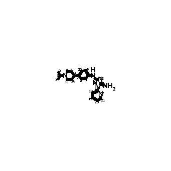 CC(C)N1CCC(c2ccc(Nc3nc(N)n(-c4ccccn4)n3)cc2)CC1